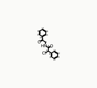 O=C(CNC(=O)C(Cl)c1ccccc1)c1ccccc1